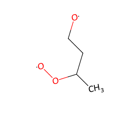 CC(CC[O])O[O]